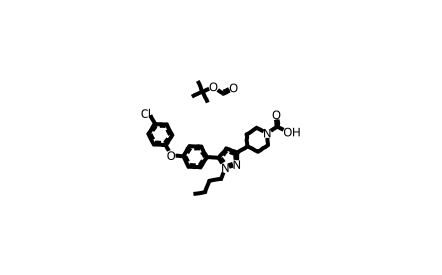 CC(C)(C)OC=O.CCCCn1nc(C2CCN(C(=O)O)CC2)cc1-c1ccc(Oc2ccc(Cl)cc2)cc1